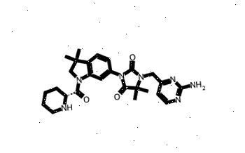 CC1(C)CN(C(=O)[C@H]2CCCCN2)c2cc(N3C(=O)N(Cc4ccnc(N)n4)C(C)(C)C3=O)ccc21